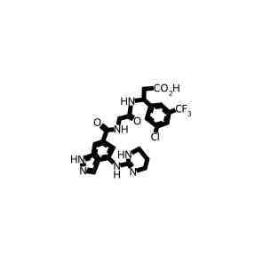 O=C(O)CC(NC(=O)CNC(=O)c1cc(NC2=NCCCN2)c2cn[nH]c2c1)c1cc(Cl)cc(C(F)(F)F)c1